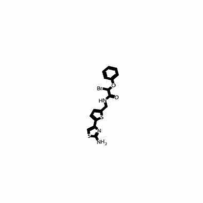 Nc1nc(-c2ccc(CNC(=O)C(Br)Oc3ccccc3)s2)cs1